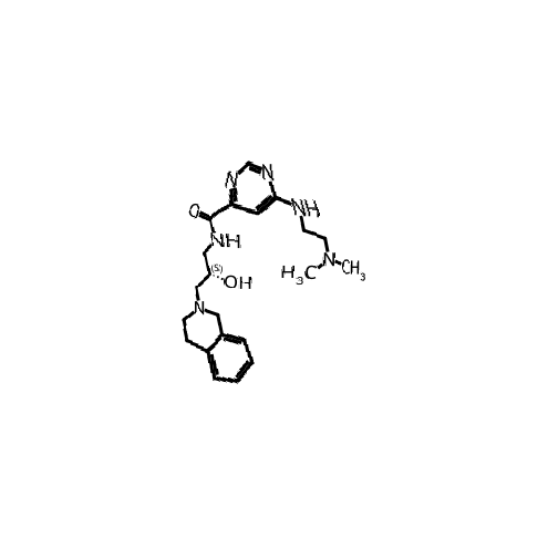 CN(C)CCNc1cc(C(=O)NC[C@H](O)CN2CCc3ccccc3C2)ncn1